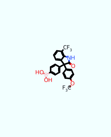 O=C1Nc2c(C(F)(F)F)cccc2C1(c1ccc(OC(F)(F)F)cc1)c1ccc(B(O)O)cc1